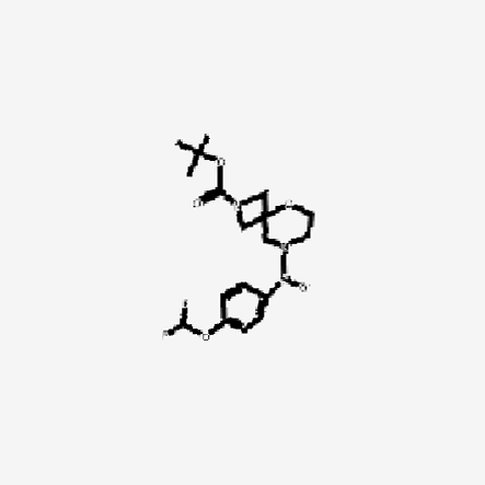 CC(C)(C)OC(=O)N1CC2(C1)CN([S+]([O-])c1ccc(OC(F)F)cc1)CCO2